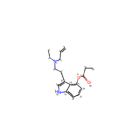 C=CCN(CC)CCc1c[nH]c2cccc(OC(=O)CC)c12